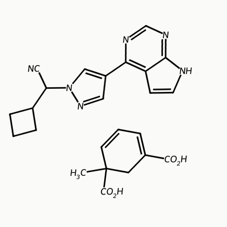 CC1(C(=O)O)C=CC=C(C(=O)O)C1.N#CC(C1CCC1)n1cc(-c2ncnc3[nH]ccc23)cn1